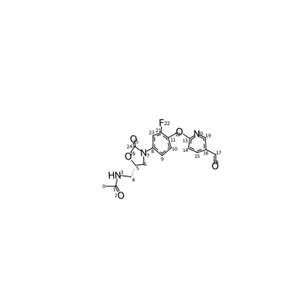 CC(=O)NC[C@H]1CN(c2ccc(Oc3ccc(C=O)cn3)c(F)c2)C(=O)O1